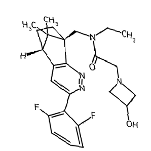 CCN(C[C@@]12CC[C@@H](c3cc(-c4c(F)cccc4F)nnc31)C2(C)C)C(=O)CN1CC(O)C1